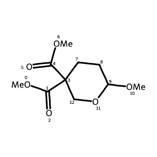 COC(=O)C1(C(=O)OC)CCC(OC)OC1